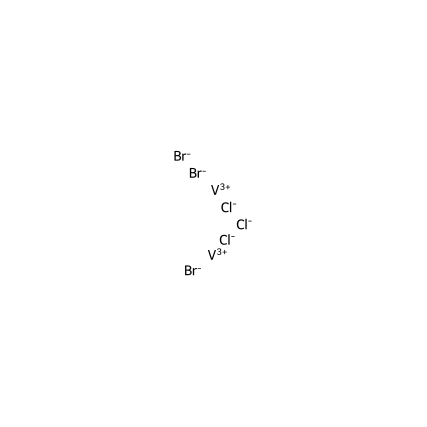 [Br-].[Br-].[Br-].[Cl-].[Cl-].[Cl-].[V+3].[V+3]